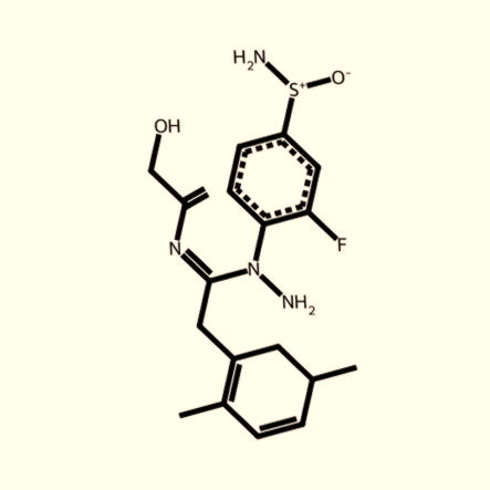 C=C(CO)/N=C(/CC1=C(C)C=CC(C)C1)N(N)c1ccc([S+](N)[O-])cc1F